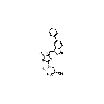 CC(C)CN(C)C1=N/C(=C\C2=CNC3N=CC(C4=CCCC=C4)=CC23)C(=O)N1